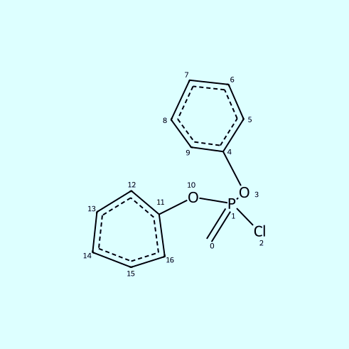 C=P(Cl)(Oc1ccccc1)Oc1ccccc1